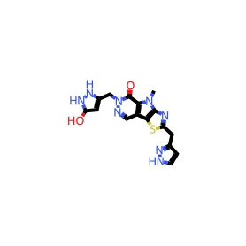 Cn1c2nc(Cc3cc[nH]n3)sc2c2cnn(CC3=CC(O)NN3)c(=O)c21